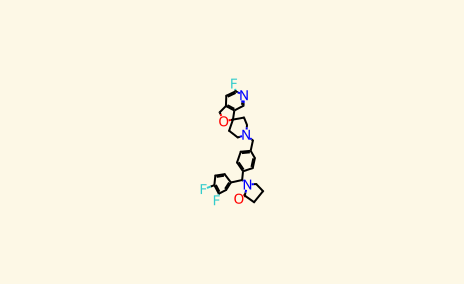 O=C1CCCN1C(c1ccc(CN2CCC3(CC2)OCc2cc(F)ncc23)cc1)c1ccc(F)c(F)c1